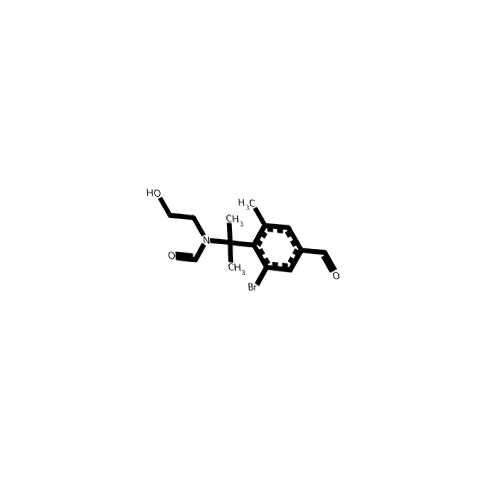 Cc1cc(C=O)cc(Br)c1C(C)(C)N(C=O)CCO